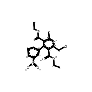 CCOC(=O)c1c(C)nc(CCl)c(C(=O)OCC)c1-c1cccc([N+](=O)[O-])c1